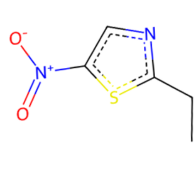 CCc1ncc([N+](=O)[O-])s1